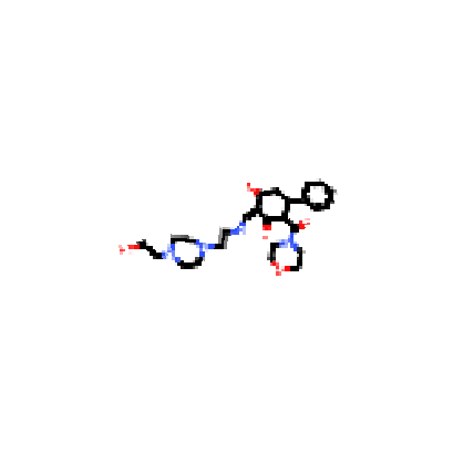 O=C1CC(c2ccccc2)C(C(=O)N2CCOCC2)C(=O)/C1=C\NCCN1CCN(CCO)CC1